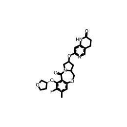 Cc1cc2c(c(O[C@@H]3CCOC3)c1F)C(=O)N1CC(Oc3cc4c(cn3)CCC(=O)N4)CC1CO2